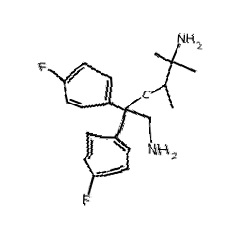 CC(CC(CN)(c1ccc(F)cc1)c1ccc(F)cc1)C(C)(C)N